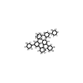 c1ccc(-c2ccc(-c3ncnc(-c4cc(-c5ccccc5)cc(-c5cccnc5-c5ccccc5-c5ccccc5)c4)n3)cc2)cc1